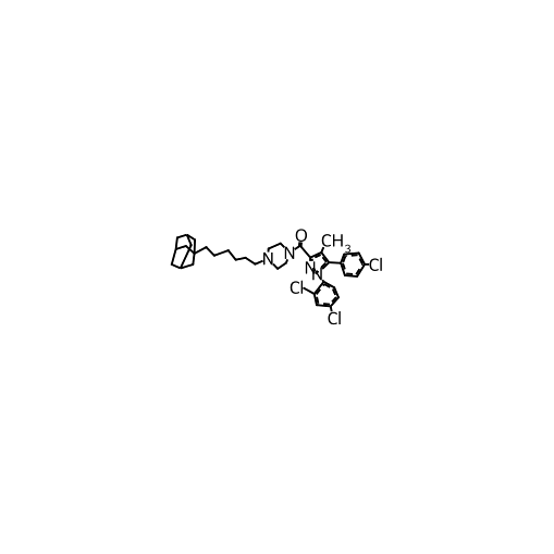 Cc1c(C(=O)N2CCN(CCCCCCC34CC5CC(CC(C5)C3)C4)CC2)nn(-c2ccc(Cl)cc2Cl)c1-c1ccc(Cl)cc1